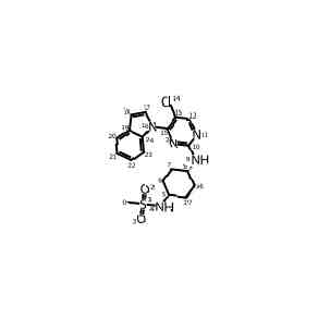 CS(=O)(=O)N[C@H]1CC[C@H](Nc2ncc(Cl)c(-n3ccc4ccccc43)n2)CC1